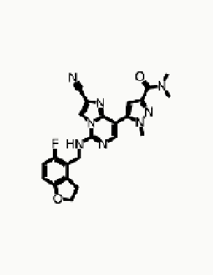 CN(C)C(=O)c1cc(-c2cnc(NCc3c(F)ccc4c3CCO4)n3cc(C#N)nc23)n(C)n1